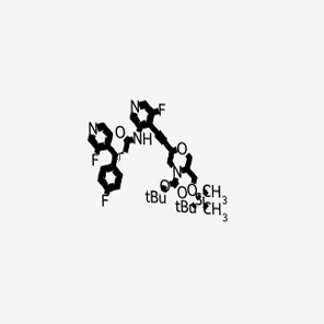 CC(C)(C)OC(=O)N1CC(C#Cc2c(F)cncc2NC(=O)C[C@H](c2ccc(F)cc2)c2ccncc2F)OCC1CO[Si](C)(C)C(C)(C)C